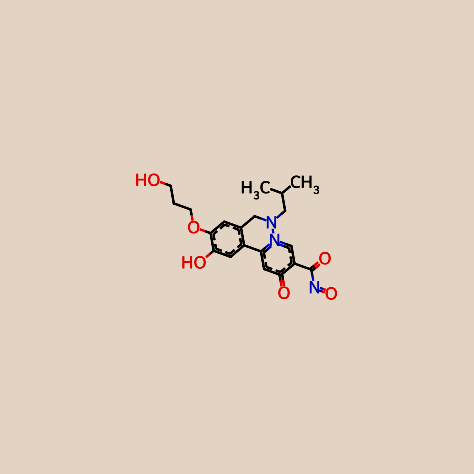 CC(C)CN1Cc2cc(OCCCO)c(O)cc2-c2cc(=O)c(C(=O)N=O)cn21